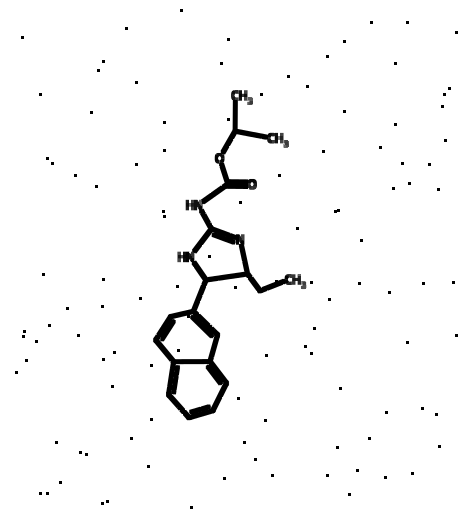 CCC1N=C(NC(=O)OC(C)C)NC1c1ccc2ccccc2c1